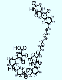 O=C(O)COc1c(C(=O)O)sc(-c2cccc(NC3CCN(S(=O)(=O)Cc4cccc(NC(=O)CCOCCOCCOCCCc5ccc6c(c5)CN(C5CCC(=O)NC5=O)C6=O)c4)CC3)c2)c1Cl